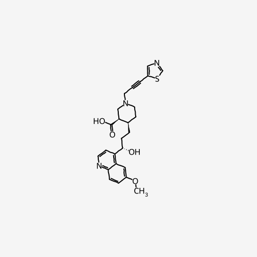 COc1ccc2nccc([C@@H](O)CC[C@@H]3CCN(CC#Cc4cncs4)C[C@@H]3C(=O)O)c2c1